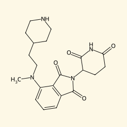 CN(CCC1CCNCC1)c1cccc2c1C(=O)N(C1CCC(=O)NC1=O)C2=O